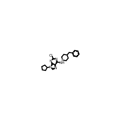 Clc1nc(NN2CCC(Cc3ccccc3)CC2)c2ncn(C3CCCC3)c2n1